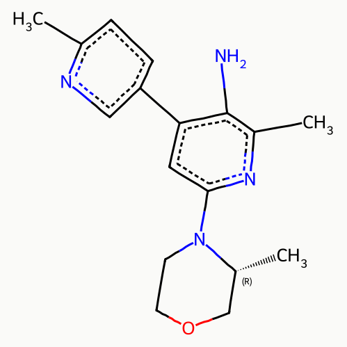 Cc1ccc(-c2cc(N3CCOC[C@H]3C)nc(C)c2N)cn1